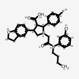 CCCCN(C(=O)CN1CC(c2ccc3c(c2)CCO3)C(C(=O)O)C1c1ccc(F)cc1)c1cccc(Cl)c1